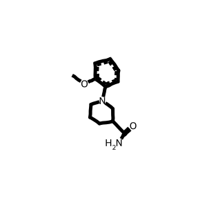 COc1ccccc1N1CCCC(C(N)=O)C1